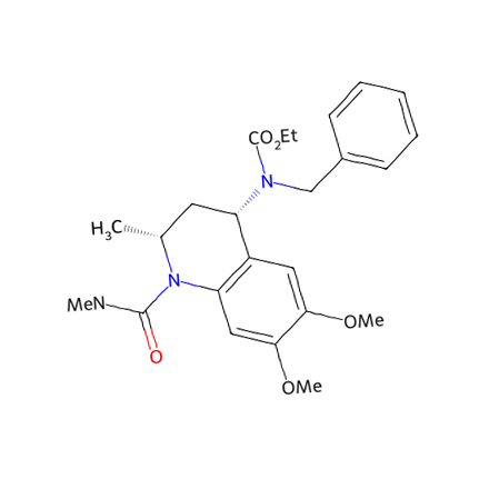 CCOC(=O)N(Cc1ccccc1)[C@H]1C[C@@H](C)N(C(=O)NC)c2cc(OC)c(OC)cc21